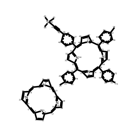 C1=CC2=NC1=CC1=NC(=CC3=NC(=CC4=NC(=C2)C=C4)C=C3)C=C1.Cc1ccc(C2=C3C=CC(=N3)C(c3ccc(C#C[Si](C)(C)C)cc3)=C3C=CC(=N3)C(c3ccc(C)cc3)=C3C=CC(=N3)C(c3ccc(I)cc3)=C3C=CC2=N3)cc1